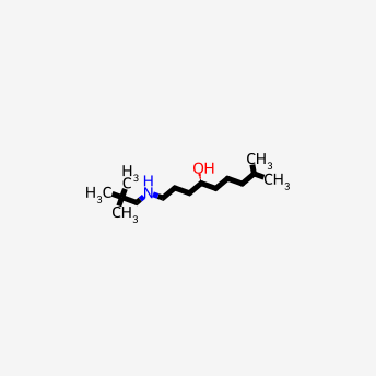 CC(C)CCC[C@@H](O)CCCNCC(C)(C)C